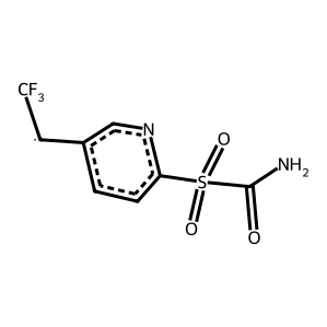 NC(=O)S(=O)(=O)c1ccc([CH]C(F)(F)F)cn1